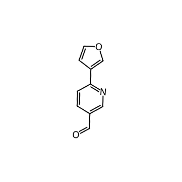 O=Cc1ccc(-c2ccoc2)nc1